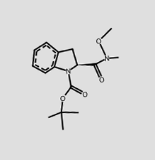 CON(C)C(=O)[C@@H]1Cc2ccccc2N1C(=O)OC(C)(C)C